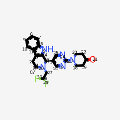 C[C@@H]1Cc2c([nH]c3ccccc23)[C@@H](c2cnc(N3CCC(=O)CC3)nc2)N1CC(F)F